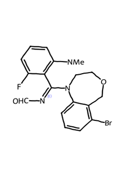 CNc1cccc(F)c1/C(=N\C=O)N1CCOCc2c(Br)cccc21